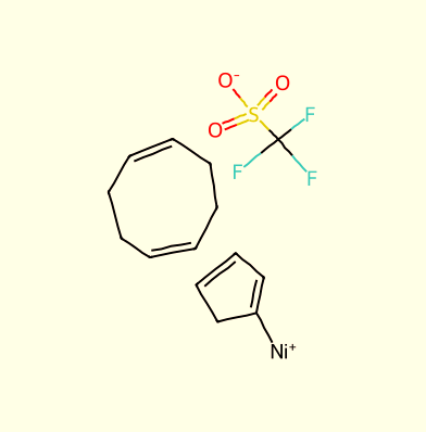 C1=C\CC/C=C\CC/1.O=S(=O)([O-])C(F)(F)F.[Ni+][C]1=CC=CC1